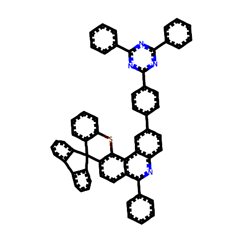 c1ccc(-c2nc(-c3ccccc3)nc(-c3ccc(-c4ccc5nc(-c6ccccc6)c6ccc7c(c6c5c4)Sc4ccccc4C74c5ccccc5-c5ccccc54)cc3)n2)cc1